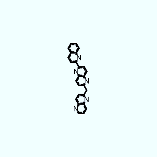 c1ccc2nc(-c3ccc4nc(Cc5ccc6ncccc6n5)ccc4n3)ccc2c1